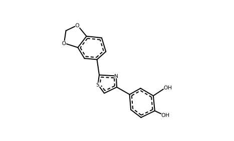 Oc1ccc(-c2csc(-c3ccc4c(c3)OCO4)n2)cc1O